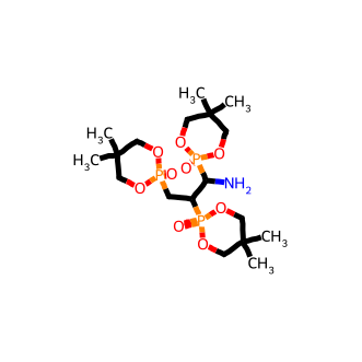 CC1(C)COP(=O)(CC(C(N)P2(=O)OCC(C)(C)CO2)P2(=O)OCC(C)(C)CO2)OC1